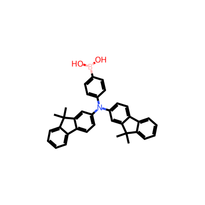 CC1(C)c2ccccc2-c2ccc(N(c3ccc(B(O)O)cc3)c3ccc4c(c3)C(C)(C)c3ccccc3-4)cc21